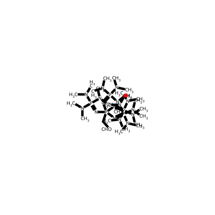 CN(C)P(=NP(CC=O)(N=P(N(C)C)(N(C)C)N(C)C)(N=P(N(C)C)(N(C)C)N(C)C)N=P(N(C)C)(N(C)C)N(C)C)(N(C)C)N(C)C